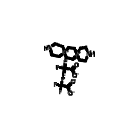 C1C[N+]2(CCN1)CC[N+]1(CCNCC1)CC2.O=C([O-])C(F)(F)F.O=C([O-])C(F)(F)F